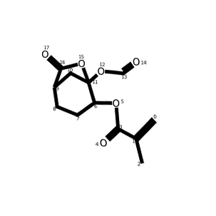 C=C(C)C(=O)OC1CCC2CC1(OC=O)OC2=O